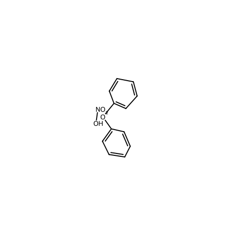 O=[N+]([O-])O.c1ccc(Oc2ccccc2)cc1